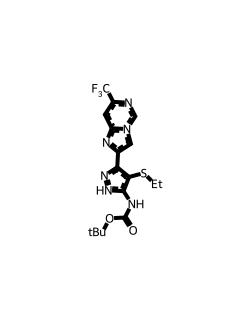 CCSc1c(-c2cn3cnc(C(F)(F)F)cc3n2)n[nH]c1NC(=O)OC(C)(C)C